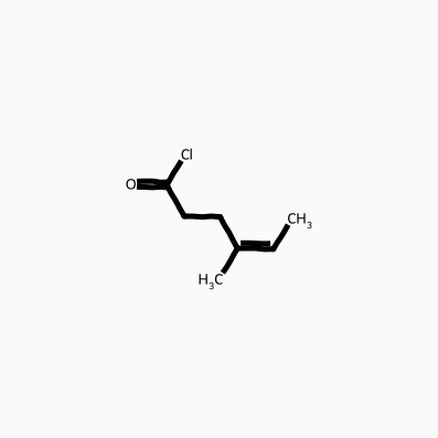 CC=C(C)CCC(=O)Cl